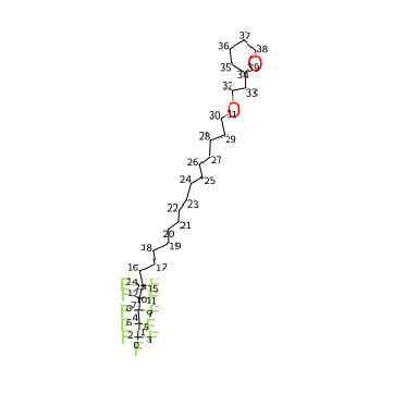 FC(F)(F)C(F)(F)C(F)(F)C(F)(F)C(F)(F)CCCCCCCCCCCCCCCOCCC1CCCCO1